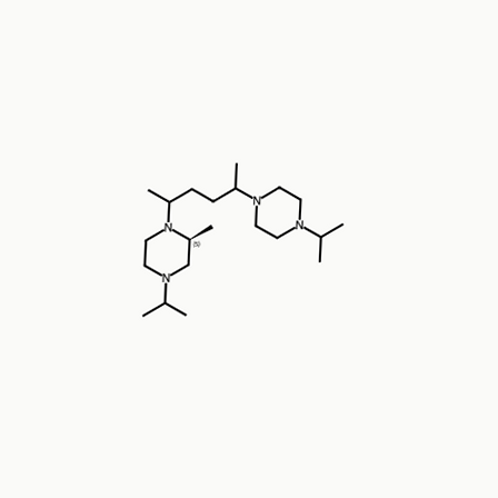 CC(C)N1CCN(C(C)CCC(C)N2CCN(C(C)C)C[C@@H]2C)CC1